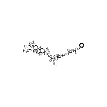 CCC[C@H]1[C@@H]2CC[C@H]3C[C@](C)(OC(=O)COC(=O)C(C)(C)OC(=O)CNCCOC(=O)CNC(=O)OCc4ccccc4)CC[C@]3(C)[C@H]2CC[C@]1(C)CC(C)=O